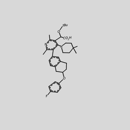 Cc1nc(C)c(C(OC(C)(C)C)C(=O)O)c(N2CCC(C)(C)CC2)c1-c1ccc2c(c1)CCC(Oc1ccc(F)cc1)C2